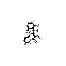 O=c1c(CO)c(Nc2c(Cl)cccc2Cl)nc2ccccn12